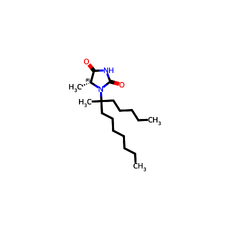 CCCCCCCC(C)(CCCCC)N1C(=O)NC(=O)[C@H]1C